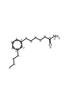 CCCCc1cccc(CCCCCC(N)=O)c1